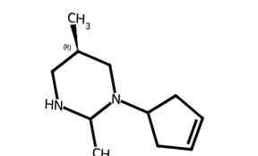 CC1NC[C@@H](C)CN1C1CC=CC1